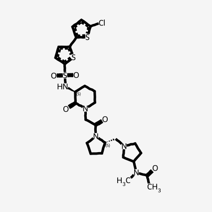 CC(=O)N(C)C1CCN(C[C@@H]2CCCN2C(=O)CN2CCC[C@H](NS(=O)(=O)c3ccc(-c4ccc(Cl)s4)s3)C2=O)C1